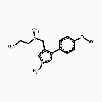 CC(C)Oc1ccc(-c2nn(C)cc2CN(C)CCN)cc1